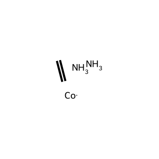 C=C.N.N.[Co]